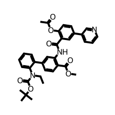 CCN(C(=O)OC(C)(C)C)c1ccccc1-c1ccc(C(=O)OC)c(NC(=O)c2cc(-c3cccnc3)ccc2OC(C)=O)c1